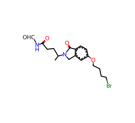 CC(CCC(=O)NC=O)N1Cc2cc(OCCCCBr)ccc2C1=O